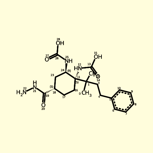 CC(C)(CCc1ccccc1)[C@@]1(NC(=O)O)CC[C@H](C(=O)NN)C[C@H]1NC(=O)O